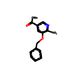 COC(=O)c1cnc([N+](=O)[O-])c(OCc2ccccc2)c1